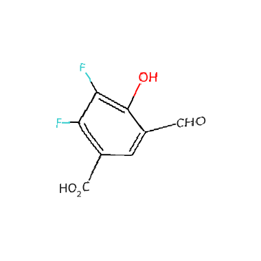 O=Cc1cc(C(=O)O)c(F)c(F)c1O